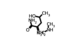 C=C(CC(C)O)C(N)=O.CNC